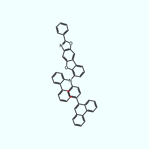 c1ccc(-c2nc3cc4oc5c(N(c6ccc(-c7cc8ccccc8c8ccccc78)cc6)c6ccccc6-c6ccccc6)cccc5c4cc3o2)cc1